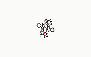 Cc1ccc(N2C(=C3N(c4ccc(C)s4)c4ccccc4N3c3ccc(C)s3)N(c3ccc(C)s3)c3ccccc32)s1